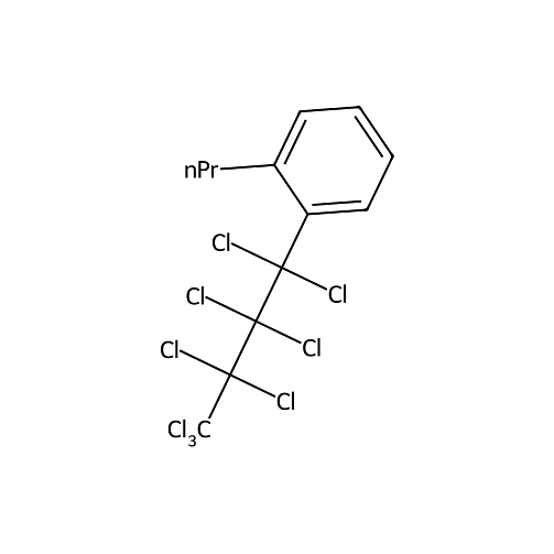 [CH2]CCc1ccccc1C(Cl)(Cl)C(Cl)(Cl)C(Cl)(Cl)C(Cl)(Cl)Cl